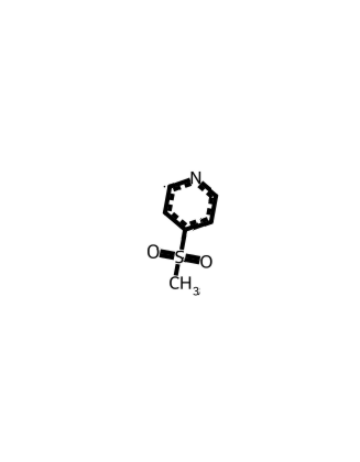 CS(=O)(=O)c1c[c]ncc1